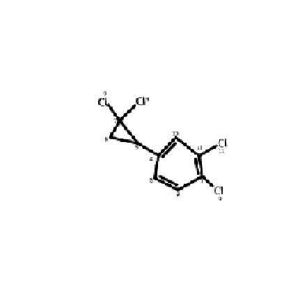 Clc1ccc(C2CC2(Cl)Cl)cc1Cl